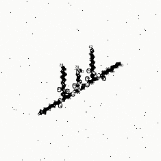 CCCCCCCCC(=O)OCC(COC(=O)CCCCCCCC)CC(=O)OCCN(CCOC(=O)CC(COC(=O)CCCCCCCC)COC(=O)CCCCCCCC)C(=O)OCCCN(C)C